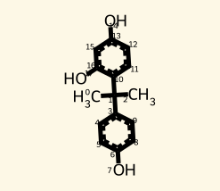 CC(C)(c1ccc(O)cc1)c1ccc(O)cc1O